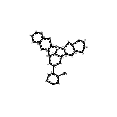 CC(C)c1ccccc1-c1cc2c3cc4ccccc4cc3n3c4cc5ccccc5cc4c(c1)c23